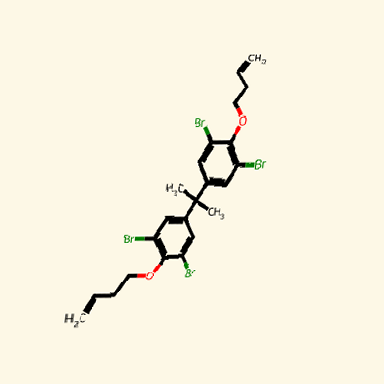 C=CCCOc1c(Br)cc(C(C)(C)c2cc(Br)c(OCCC=C)c(Br)c2)cc1Br